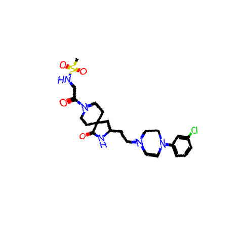 CS(=O)(=O)NCC(=O)N1CCC2(CC1)CC(CCN1CCN(c3cccc(Cl)c3)CC1)NC2=O